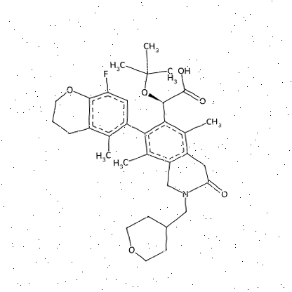 Cc1c(-c2c(C)c3c(c(C)c2[C@@H](OC(C)(C)C)C(=O)O)CC(=O)N(CC2CCOCC2)C3)cc(F)c2c1CCCO2